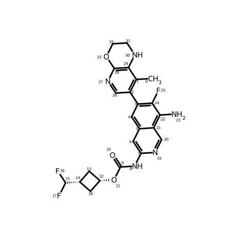 Cc1c(-c2cc3cc(NC(=O)O[C@H]4C[C@@H](C(F)F)C4)ncc3c(N)c2F)cnc2c1NCCO2